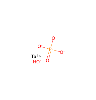 O=P([O-])([O-])[O-].[OH-].[Ta+4]